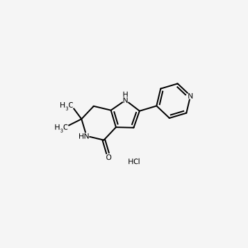 CC1(C)Cc2[nH]c(-c3ccncc3)cc2C(=O)N1.Cl